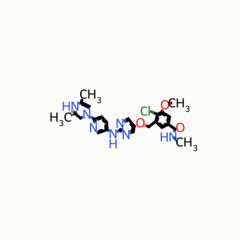 CNC(=O)c1cc(COc2cnc(Nc3ccc(N4C=C(C)N[C@@H](C)C4)nc3)nc2)c(Cl)c(OC)c1